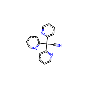 N#CC(c1ccccn1)(c1ccccn1)c1ccccn1